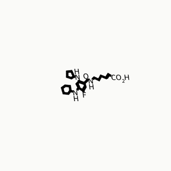 O=C(O)/C=C/CCCNC(=O)c1cc(F)c(NC2CCCCC2)cc1NC1CCCC1